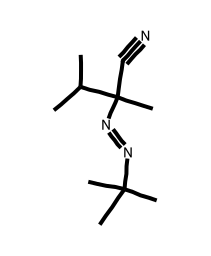 CC(C)C(C)(C#N)N=NC(C)(C)C